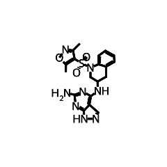 Cc1noc(C)c1S(=O)(=O)N1CC(Nc2nc(N)nc3[nH]ncc23)Cc2ccccc21